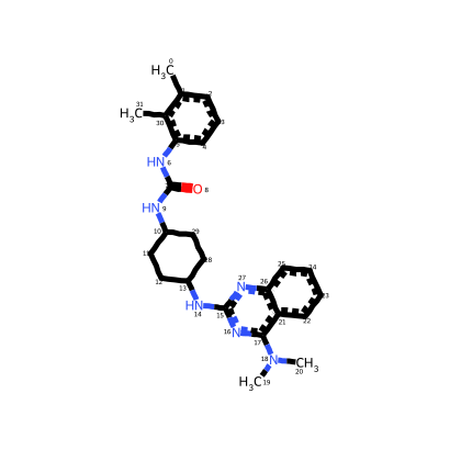 Cc1cccc(NC(=O)NC2CCC(Nc3nc(N(C)C)c4ccccc4n3)CC2)c1C